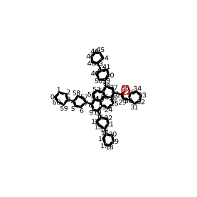 c1ccc(-c2ccc(-c3cc(-c4ccc(-c5ccccc5)cc4)c4ccc5c(-c6cc7ccccc7o6)cc(-c6ccc(-c7ccccc7)cc6)c6ccc3c4c65)cc2)cc1